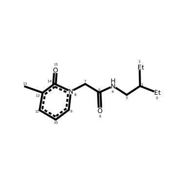 CCC(CC)CNC(=O)Cn1cccc(C)c1=O